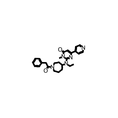 CCN(c1nc(-c2ccncc2)cc(=O)n1C)C1CCCN(C(=O)Cc2ccccc2)CC1